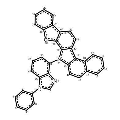 c1ccc(-n2cnc3c(-n4c5ccc6ccccc6c5c5ccc6c7ccccc7oc6c54)cccc32)cc1